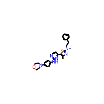 Cc1nc(NCCc2ccccc2)sc1-c1ccnc(Nc2ccc(N3CCOCC3)cc2)n1